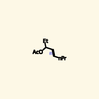 CCC/C=C/C(CC)OC(C)=O